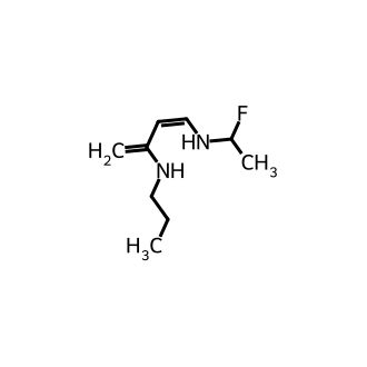 C=C(/C=C\NC(C)F)NCCC